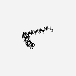 NCCOCCOCCn1nnc(CN2CCS(=O)(=O)CC2)c1F